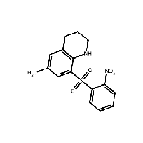 Cc1cc2c(c(S(=O)(=O)c3ccccc3[N+](=O)[O-])c1)NCCC2